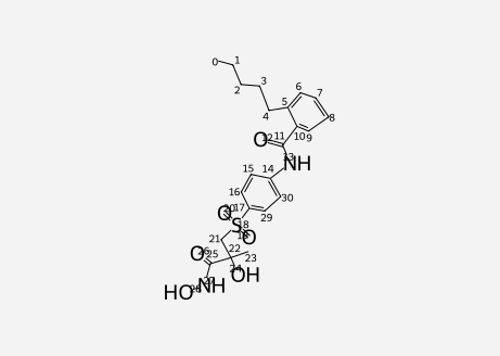 CCCCCc1ccccc1C(=O)Nc1ccc(S(=O)(=O)CC(C)(O)C(=O)NO)cc1